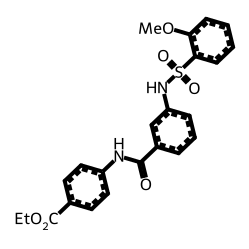 CCOC(=O)c1ccc(NC(=O)c2cccc(NS(=O)(=O)c3ccccc3OC)c2)cc1